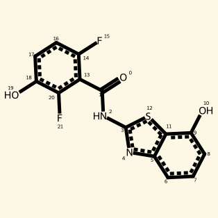 O=C(Nc1nc2cccc(O)c2s1)c1c(F)ccc(O)c1F